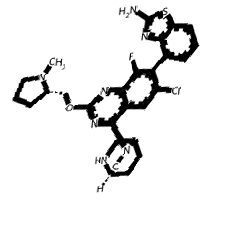 CN1CCC[C@H]1COc1nc(N2C[C@H]3CCC2CN3)c2cc(Cl)c(-c3cccc4sc(N)nc34)c(F)c2n1